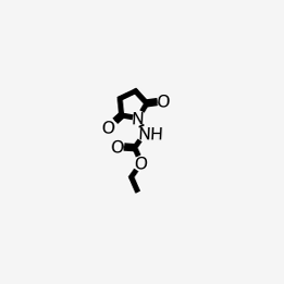 CCOC(=O)NN1C(=O)CCC1=O